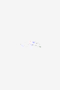 CN(C(=O)O)[C@H]1CC[C@H](C(=O)Nc2cc3cc(Br)ccc3cn2)CC1